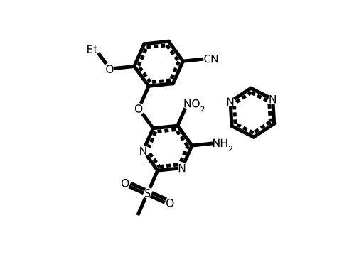 CCOc1ccc(C#N)cc1Oc1nc(S(C)(=O)=O)nc(N)c1[N+](=O)[O-].c1cncnc1